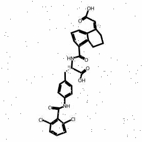 O=C(O)/C=C1/CCCc2c(C(=O)N[C@@H](Cc3ccc(NC(=O)c4c(Cl)cccc4Cl)cc3)C(=O)O)cccc21